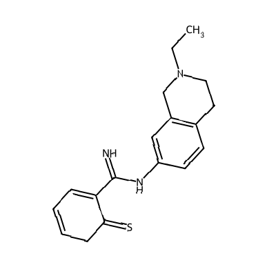 CCN1CCc2ccc(NC(=N)C3=CC=CCC3=S)cc2C1